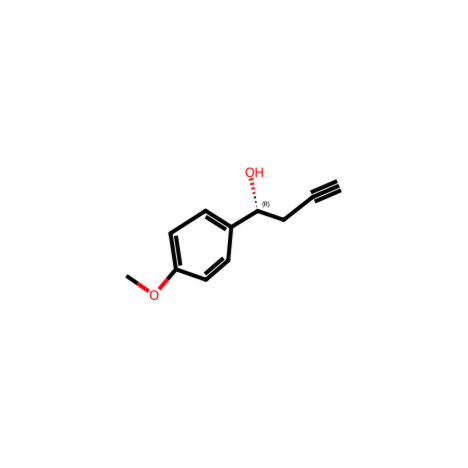 C#CC[C@@H](O)c1ccc(OC)cc1